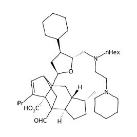 CCCCCCN(CCN1CCCCC1)C[C@@H]1O[C@@H](C23C[C@@H]4[C@H](C)CC[C@H]4C4(C=O)CC2C=C(C(C)C)[C@]43C(=O)O)C[C@H]1C1CCCCC1